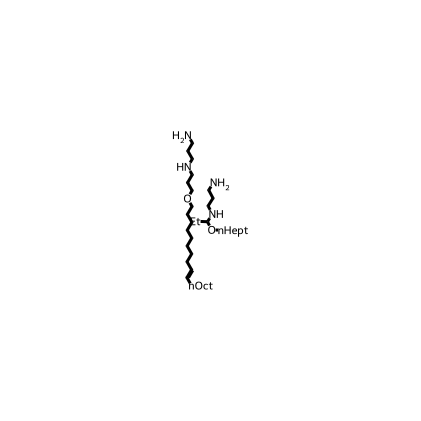 CCCCCCCCC=CCCCCCCCCOCCCNCCCN.CCCCCCCOC(CC)NCCCN